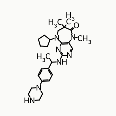 CC(Nc1ncc2c(n1)N(C1CCCC1)CC(C)(C)C(=O)N2C)c1ccc(N2CCNCC2)cc1